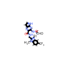 CCn1c(CNC(=O)c2nc3cc[nH]c3nc2N)[n+](C)c2ccc(C(F)(F)F)cc21.O=C[O-]